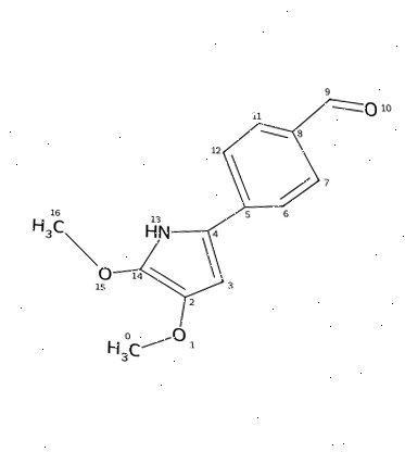 COc1cc(-c2ccc(C=O)cc2)[nH]c1OC